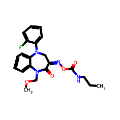 CCCNC(=O)ON=C1CN(c2ccccc2F)c2ccccc2N(COC)C1=O